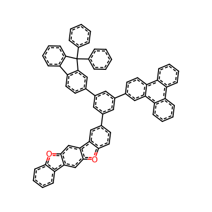 c1ccc(C2(c3ccccc3)c3ccccc3-c3ccc(-c4cc(-c5ccc6oc7cc8c(cc7c6c5)oc5ccccc58)cc(-c5ccc6c7ccccc7c7ccccc7c6c5)c4)cc32)cc1